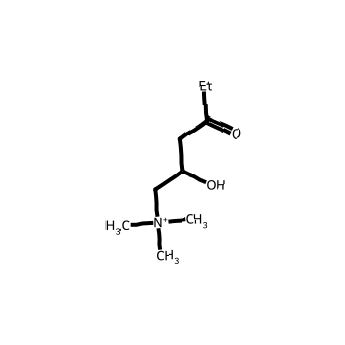 CCC(=O)CC(O)C[N+](C)(C)C